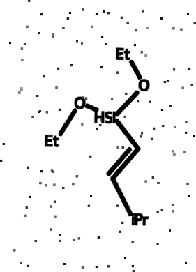 CCO[SiH](C=CC(C)C)OCC